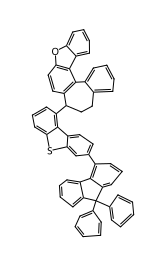 c1ccc(C2(c3ccccc3)c3ccccc3-c3c(-c4ccc5c(c4)sc4cccc(C6CCc7ccccc7-c7c6ccc6oc8ccccc8c76)c45)cccc32)cc1